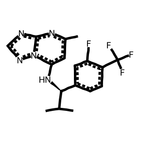 Cc1cc(N[C@@H](c2ccc(C(F)(F)F)c(F)c2)C(C)C)n2ncnc2n1